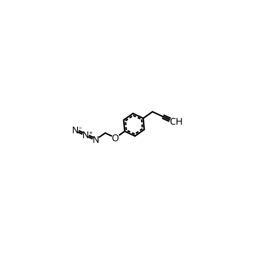 C#CCc1ccc(OCN=[N+]=[N-])cc1